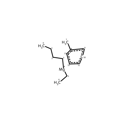 CCC[CH2][Mg][CH2]C.Cc1ccccc1